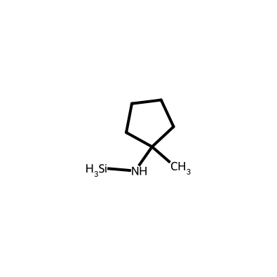 CC1(N[SiH3])CCCC1